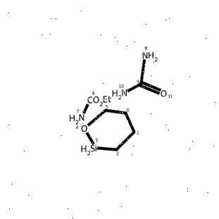 C1CC[SiH2]OC1.CCOC(N)=O.NC(N)=O